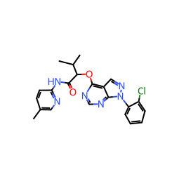 Cc1ccc(NC(=O)C(Oc2ncnc3c2cnn3-c2ccccc2Cl)C(C)C)nc1